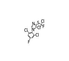 Fc1cc(Cl)c(-n2cnc(SC(F)(Cl)Cl)c2)c(Cl)c1